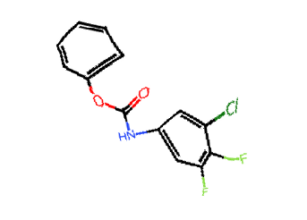 O=C(Nc1cc(F)c(F)c(Cl)c1)Oc1ccccc1